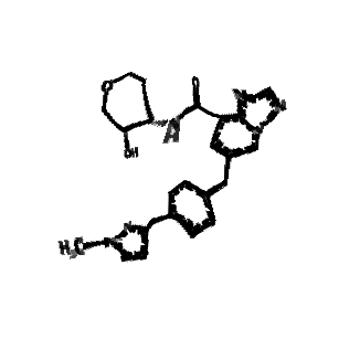 Cn1ccc(-c2ccc(Cc3cc(C(=O)N[C@H]4CCOC[C@@H]4O)c4ncnn4c3)cc2)n1